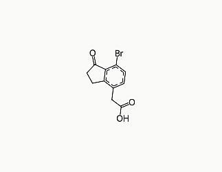 O=C(O)Cc1ccc(Br)c2c1CCC2=O